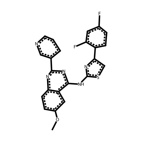 COc1ccc2nc(-c3cccnc3)nc(Nc3nc(-c4ccc(F)cc4F)cs3)c2c1